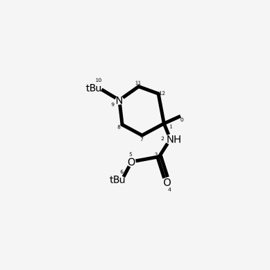 CC1(NC(=O)OC(C)(C)C)CCN(C(C)(C)C)CC1